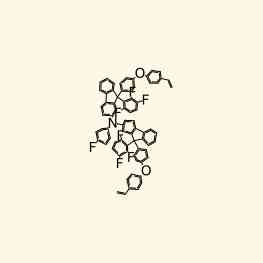 C=Cc1ccc(Oc2ccc(C3(c4c(F)ccc(F)c4F)c4ccccc4-c4ccc(N(c5ccc(F)cc5)c5ccc6c(c5)C(c5ccc(Oc7ccc(C=C)cc7)cc5)(c5c(F)ccc(F)c5F)c5ccccc5-6)cc43)cc2)cc1